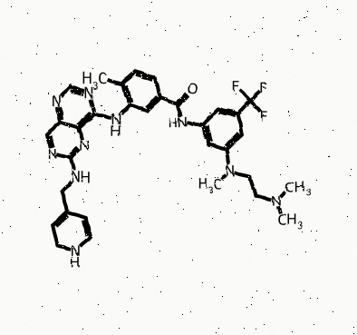 Cc1ccc(C(=O)Nc2cc(N(C)CCN(C)C)cc(C(F)(F)F)c2)cc1Nc1ncnc2cnc(NCC3=CCNC=C3)nc12